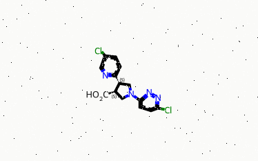 O=C(O)[C@@H]1CN(c2ccc(Cl)nn2)C[C@H]1c1ccc(Cl)cn1